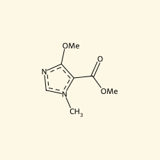 COC(=O)c1c(OC)ncn1C